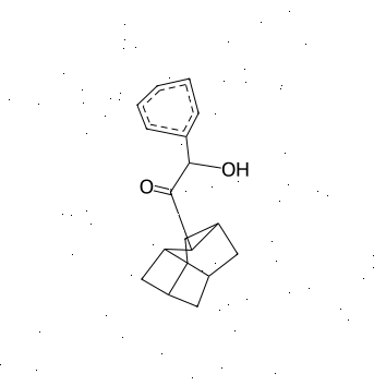 O=C(C(O)c1ccccc1)C1C2CC3CC4CC1C34C2